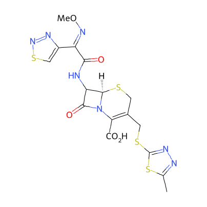 CO/N=C(/C(=O)NC1C(=O)N2C(C(=O)O)=C(CSc3nnc(C)s3)CS[C@H]12)c1csnn1